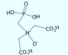 O=C(O)C[N+]([O-])(CC(=O)O)CP(=O)(O)O